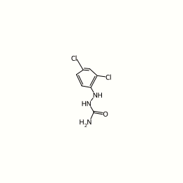 NC(=O)NNc1ccc(Cl)cc1Cl